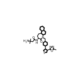 Cc1nnc(-c2cscc2-c2ccc(CN3C(=O)C(NC(=O)CC(C)(C)N)CCc4c3ccc3ccccc43)cc2)o1